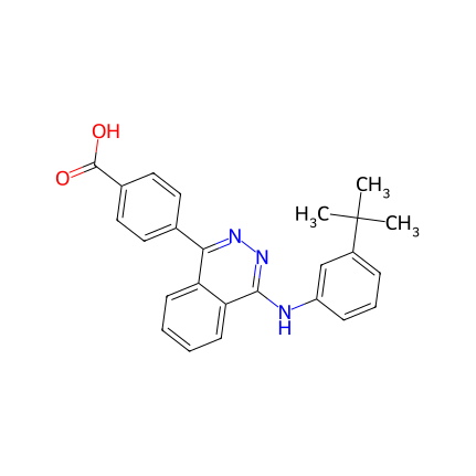 CC(C)(C)c1cccc(Nc2nnc(-c3ccc(C(=O)O)cc3)c3ccccc23)c1